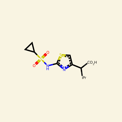 CC(C)C(C(=O)O)c1csc(NS(=O)(=O)C2CC2)n1